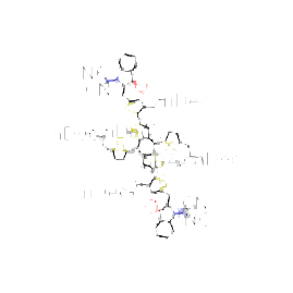 [C-]#[N+]/C(C#N)=C1\C(=Cc2cc(CCCCCCCCCCCC)c(-c3cc4c(-c5ccc(CC(CCCCCCCCCC)CCCCCCCCCC)s5)c5sc(-c6sc(C=C7C(=O)c8ccccc8/C7=C(/C#N)[N+]#[C-])cc6CCCCCCCCCCCC)cc5c(-c5ccc(CC(CCCCCCCCCC)CCCCCCCCCC)s5)c4s3)s2)C(=O)c2ccccc21